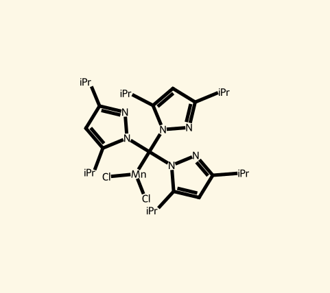 CC(C)c1cc(C(C)C)n([C](n2nc(C(C)C)cc2C(C)C)(n2nc(C(C)C)cc2C(C)C)[Mn]([Cl])[Cl])n1